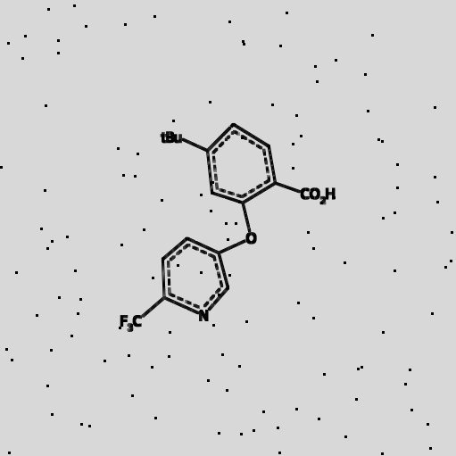 CC(C)(C)c1ccc(C(=O)O)c(Oc2ccc(C(F)(F)F)nc2)c1